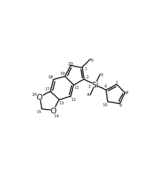 CC1=C([Si](C)(C)C2=CC=CC2)C2=CC3OCOC3=CC2=C1